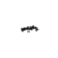 CC(=O)SC1CN(c2nc(C(=O)N(C)CCNC(=O)OCc3ccc([N+](=O)[O-])cc3)cs2)C1